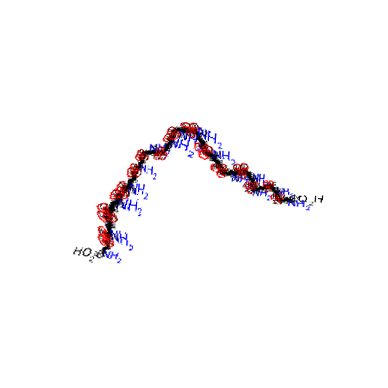 N[C@@H](CCC(=O)OC(=O)[C@@H](N)CCC(=O)OC(=O)CC[C@H](N)C(=O)OC(=O)[C@@H](N)CCC(=O)OC(=O)[C@@H](N)CCC(=O)OC(=O)CC[C@H](N)C(=O)OC(=O)CC[C@H](N)C(=O)OC(=O)C[C@H](N)C(=O)OC(=O)[C@@H](N)CCC(=O)OC(=O)[C@@H](N)CCC(=O)OC(=O)CC[C@H](N)C(=O)OC(=O)CC[C@H](N)C(=O)OC(=O)[C@@H](N)CCC(=O)OC(=O)CC[C@H](N)C(=O)OC(=O)CC[C@H](N)C(=O)O)C(=O)O